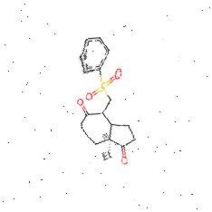 CC[C@]12CCC(=O)C(CS(=O)(=O)c3ccccc3)C1CCC2=O